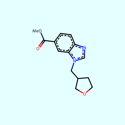 COC(=O)c1ccc2ncn(CC3CCOC3)c2c1